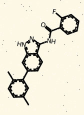 Cc1ccc(C)c(-c2ccc3c(NC(=O)c4ccccc4F)n[nH]c3c2)c1